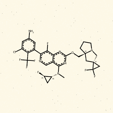 CN(c1nc(OC[C@@]23CCCN2C[C@@]2(CC2(F)F)C3)nc2c(F)c(-c3cc(N)cc(Cl)c3C(F)(F)F)ncc12)[C@@H]1C[C@H]1F